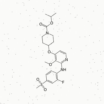 COc1c(OC2CCN(C(=O)OC(C)C)CC2)ccnc1Nc1ccc(S(C)(=O)=O)cc1F